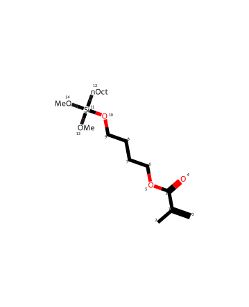 C=C(C)C(=O)OCCCCO[Si](CCCCCCCC)(OC)OC